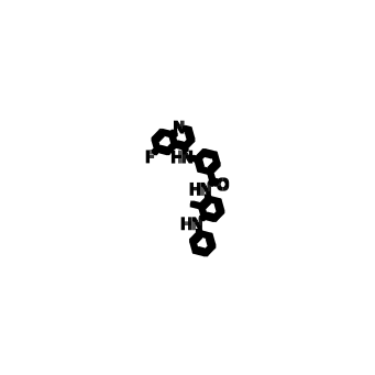 Cc1c(NC(=O)c2cccc(Nc3ccnc4ccc(F)cc34)c2)cccc1Nc1ccccc1